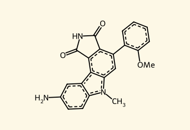 COc1ccccc1-c1cc2c(c3c1C(=O)NC3=O)c1cc(N)ccc1n2C